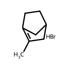 Br.CC1=C2CCC(C1)C2